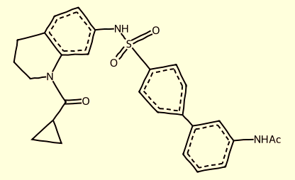 CC(=O)Nc1cccc(-c2ccc(S(=O)(=O)Nc3ccc4c(c3)N(C(=O)C3CC3)CCC4)cc2)c1